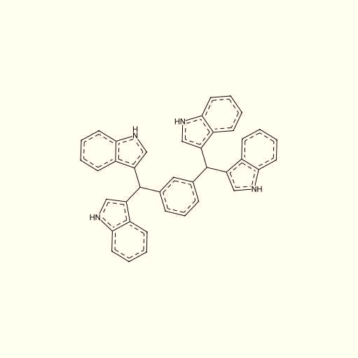 c1cc(C(c2c[nH]c3ccccc23)c2c[nH]c3ccccc23)cc(C(c2c[nH]c3ccccc23)c2c[nH]c3ccccc23)c1